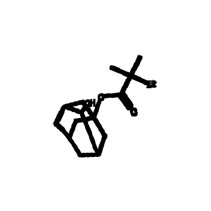 CCC(C)(C)C(=O)OC12CC3CC(C1)C(O)C(C3)C2